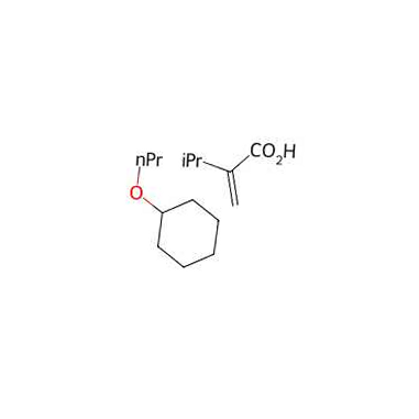 C=C(C(=O)O)C(C)C.CCCOC1CCCCC1